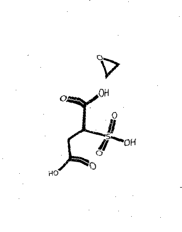 C1CO1.O=C(O)CC(C(=O)O)S(=O)(=O)O